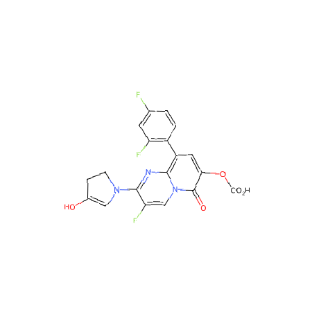 O=C(O)Oc1cc(-c2ccc(F)cc2F)c2nc(N3C=C(O)CC3)c(F)cn2c1=O